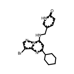 O=c1ccc(CNc2cc(C3CCCCC3)nc3c(Br)cnn23)c[nH]1